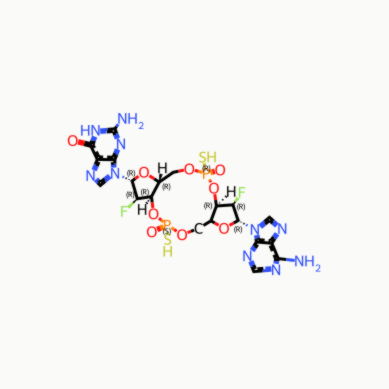 Nc1nc2c(ncn2[C@@H]2O[C@@H]3CO[P@@](=O)(S)O[C@@H]4C(CO[P@](=O)(S)O[C@H]3[C@H]2F)O[C@@H](n2cnc3c(N)ncnc32)[C@@H]4F)c(=O)[nH]1